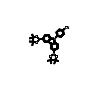 CC1(C)OB(c2ccc3c(c2)c2cc(B4OC(C)(C)C(C)(C)O4)ccc2n3-c2ccc(C#N)cc2)OC1(C)C